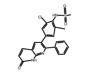 Cc1cc(-c2cc3ccc(=O)[nH]c3nc2-c2ccccc2)cc(Cl)c1NS(C)(=O)=O